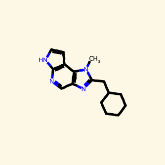 Cn1c(CC2CCCCC2)nc2cnc3[nH]ccc3c21